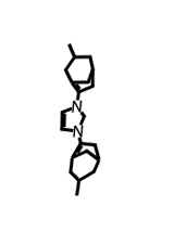 CC1CC2=C(N3C=CN(C4=C5CC(C)CC(C5)C4)C3)CC(C2)C1